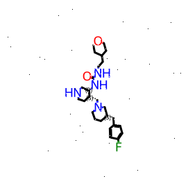 O=C(NCCC1CCOCC1)N[C@H]1CNCC[C@H]1CN1CCC[C@@H](Cc2ccc(F)cc2)C1